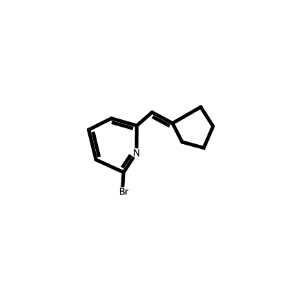 Brc1cccc(C=C2CCCC2)n1